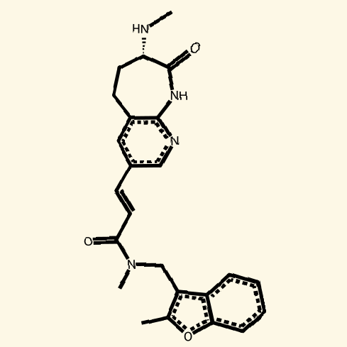 CN[C@H]1CCc2cc(/C=C/C(=O)N(C)Cc3c(C)oc4ccccc34)cnc2NC1=O